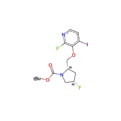 CC(C)(C)OC(=O)N1C[C@@H](F)C[C@H]1COc1c(I)ccnc1F